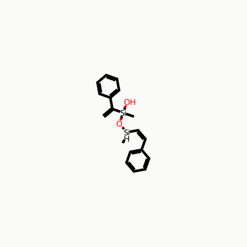 C=C(c1ccccc1)[Si](C)(O)O[SiH](C)/C=C\c1ccccc1